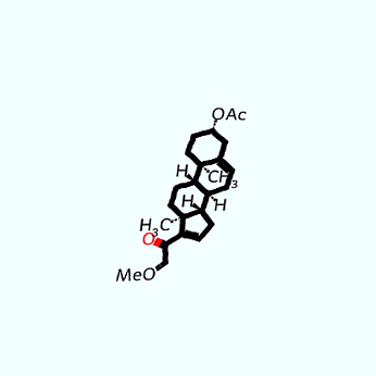 COCC(=O)C1=CC[C@H]2[C@@H]3CC=C4C[C@@H](OC(C)=O)CC[C@]4(C)[C@H]3CC[C@]12C